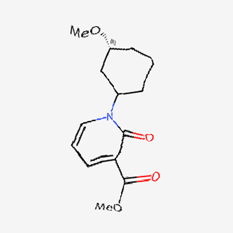 COC(=O)c1cccn(C2CCC[C@@H](OC)C2)c1=O